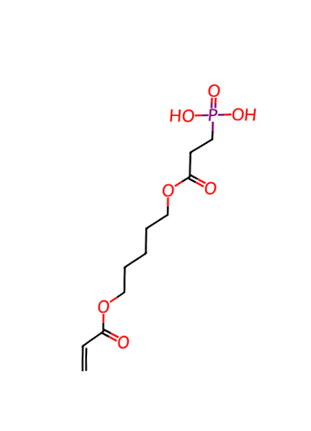 C=CC(=O)OCCCCCOC(=O)CCP(=O)(O)O